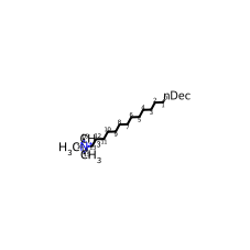 CCCCCCCCCCCCCCCCCCCCCCC[N+](C)(C)C